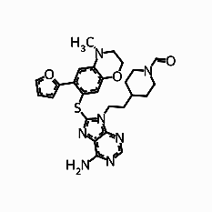 CN1CCOc2cc(Sc3nc4c(N)ncnc4n3CCC3CCN(C=O)CC3)c(-c3ccco3)cc21